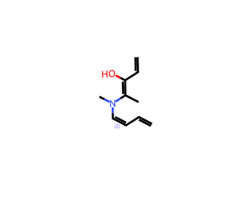 C=C/C=C\N(C)C(C)=C(O)C=C